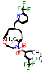 C=CC(/C=C(\C)C(F)(F)F)S(=O)(=O)N1CCO/C=C/C=C(/Cc2cccc(C(F)(F)F)n2)CC/C=C/1C